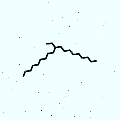 CCCCCCCCCC(CC)CCCCCCCCC